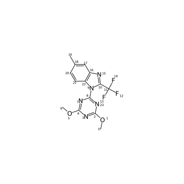 COc1nc(OC)nc(-n2c(C(F)(F)F)nc3cc(C)ccc32)n1